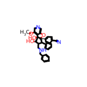 COc1cncc2c1C1(O)[C@H](O)C(CNCc3ccccc3)C(c3ccccc3)[C@@]1(c1ccc(C#N)cc1)O2